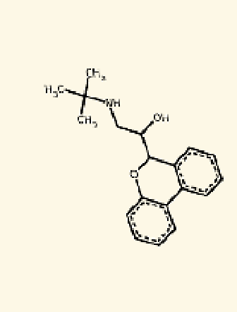 CC(C)(C)NCC(O)C1Oc2ccccc2-c2ccccc21